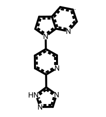 [c]1cnc2c(c1)ccn2-c1ccc(-c2ncn[nH]2)nc1